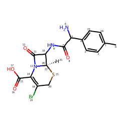 Cc1ccc(C(N)C(=O)NC2C(=O)N3C(C(=O)O)=C(Br)CS[C@H]23)cc1